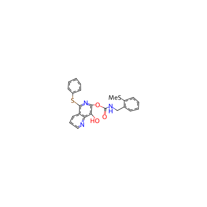 CSc1ccccc1CNC(=O)Oc1nc(Sc2ccccc2)c2cccnc2c1O